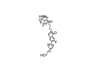 O=c1[nH]ncc(NCCCCn2ccc3cc(-c4ncc(OCCO)cn4)c(F)cc3c2=O)c1C(F)(F)F